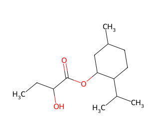 CCC(O)C(=O)OC1CC(C)CCC1C(C)C